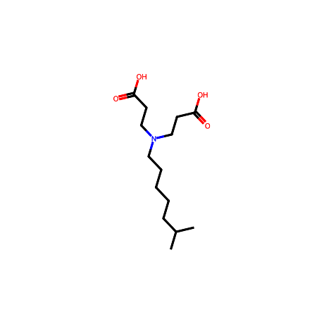 CC(C)CCCCCN(CCC(=O)O)CCC(=O)O